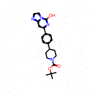 CC(C)(C)OC(=O)N1CCC(c2ccc(-c3cc4nccn4c(O)n3)cc2)CC1